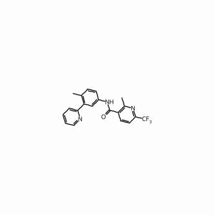 Cc1ccc(NC(=O)c2ccc(C(F)(F)F)nc2C)cc1-c1ccccn1